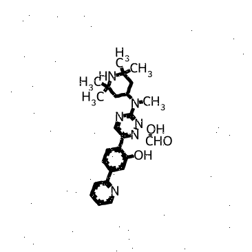 CN(c1ncc(-c2ccc(-c3ccccn3)cc2O)nn1)C1CC(C)(C)NC(C)(C)C1.O=CO